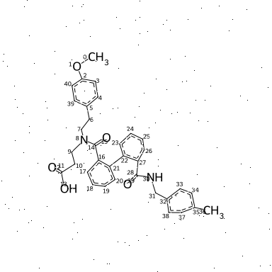 COc1ccc(CCN(CCC(=O)O)C(=O)c2ccccc2-c2ccccc2C(=O)NCc2ccc(C)cc2)cc1